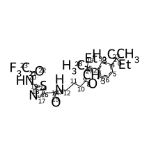 CCC(C)(C)c1ccc(OCCCCNC(=O)c2cnc(NC(=O)C(F)(F)F)s2)c(C(C)(C)CC)c1